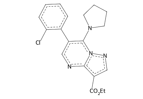 CCOC(=O)c1cnn2c(N3CCCC3)c(-c3ccccc3Cl)cnc12